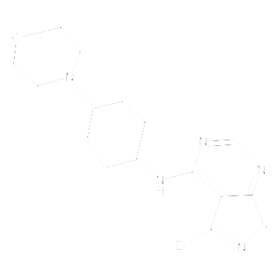 CCc1nsc2ncnc(NC3CCC(N4CCOCC4)CC3)c12